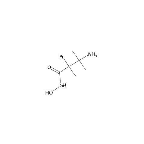 CC(C)C(C)(C(=O)NO)C(C)(C)N